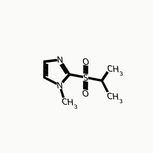 CC(C)S(=O)(=O)c1nccn1C